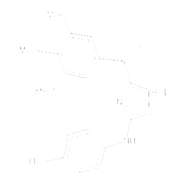 COc1cc(C(=O)c2csc(Nc3ccc(C)cc3)n2)cc(OC)c1OC.Cl